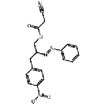 N#CCC(=O)OCC(Cc1ccc([N+](=O)[O-])cc1)N=Nc1ccccc1